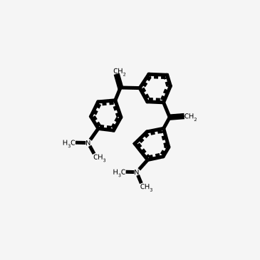 C=C(c1ccc(N(C)C)cc1)c1cccc(C(=C)c2ccc(N(C)C)cc2)c1